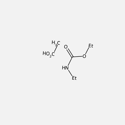 CC(=O)O.CCNC(=O)OCC